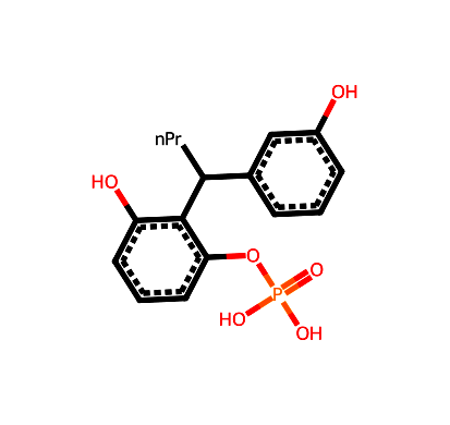 CCCC(c1cccc(O)c1)c1c(O)cccc1OP(=O)(O)O